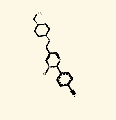 CC[C@H]1CC[C@H](CCC2=CN(Cl)C(c3ccc(C#N)cc3)N=C2)CC1